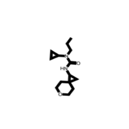 CCCN(C(=O)NC1CC12CCOCC2)C1CC1